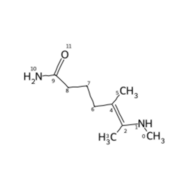 CN/C(C)=C(\C)CCCC(N)=O